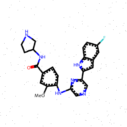 COc1cc(C(=O)NC2CCNC2)ccc1Nc1cncc(-c2cc3cc(F)ccc3[nH]2)n1